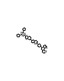 c1ccc(-c2nc(-c3ccccc3)nc(-c3ccc4cc(-c5ccc6nc(-c7ccc(-c8cc9cccnc9c9ncccc89)cc7)ccc6c5)ccc4n3)n2)cc1